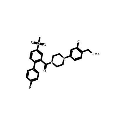 COCc1ccc(N2CCN(C(=O)c3cc(S(C)(=O)=O)ccc3-c3ccc(F)cc3)CC2)cc1Cl